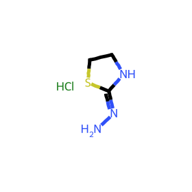 Cl.NN=C1NCCS1